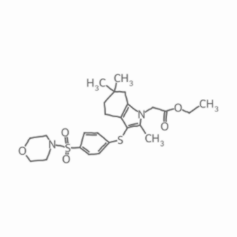 CCOC(=O)Cn1c(C)c(Sc2ccc(S(=O)(=O)N3CCOCC3)cc2)c2c1CC(C)(C)CC2